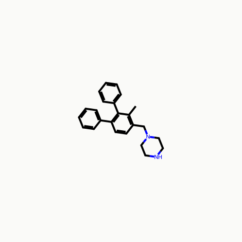 Cc1c(CN2CCNCC2)ccc(-c2ccccc2)c1-c1ccccc1